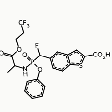 CC(NP(=O)(Oc1ccccc1)C(F)c1ccc2sc(C(=O)O)cc2c1)C(=O)OCCC(F)(F)F